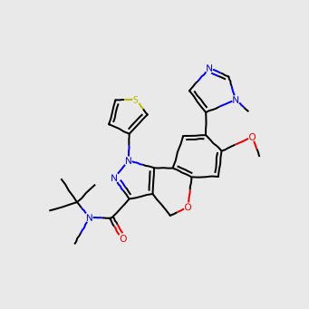 COc1cc2c(cc1-c1cncn1C)-c1c(c(C(=O)N(C)C(C)(C)C)nn1-c1ccsc1)CO2